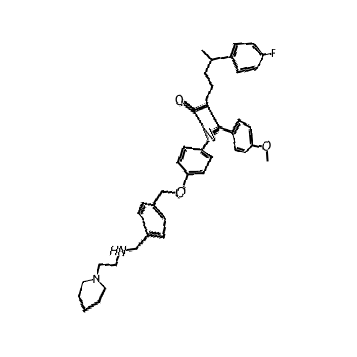 COc1ccc(C2C(CCC(C)c3ccc(F)cc3)C(=O)N2c2ccc(OCc3ccc(CNCCN4CCCCC4)cc3)cc2)cc1